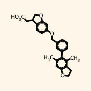 Cc1cc2c(c(C)c1-c1cccc(COc3ccc4c(c3)OCC4CC(=O)O)c1)CCO2